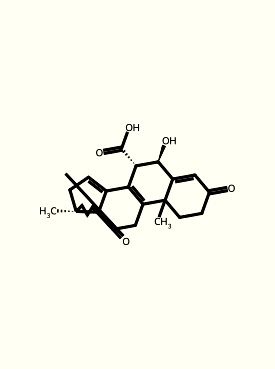 CC12CCC(=O)C=C1[C@H](O)[C@@H](C(=O)O)C1=C2CCC23C(=O)CC[C@]2(C)CC=C13